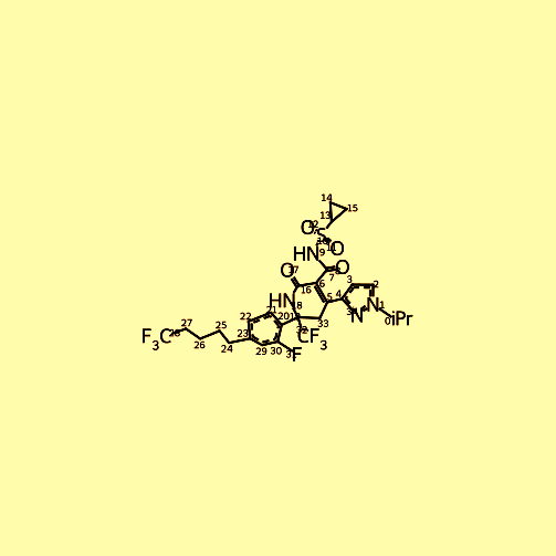 CC(C)n1ccc(C2=C(C(=O)NS(=O)(=O)C3CC3)C(=O)NC(c3ccc(CCCCC(F)(F)F)cc3F)(C(F)(F)F)C2)n1